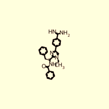 CCn1cc(-c2ccc(C(=N)N)cc2)nc1[C@H](Cc1ccccc1)NC(=O)c1ccccc1